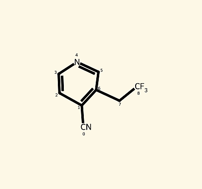 N#Cc1ccncc1CC(F)(F)F